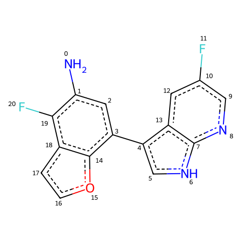 Nc1cc(-c2c[nH]c3ncc(F)cc23)c2occc2c1F